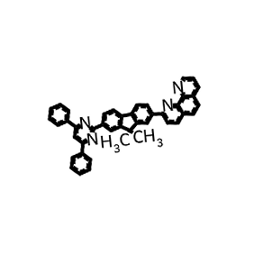 CC1(C)c2cc(-c3ccc4ccc5cccnc5c4n3)ccc2-c2ccc(-c3nc(-c4ccccc4)cc(-c4ccccc4)n3)cc21